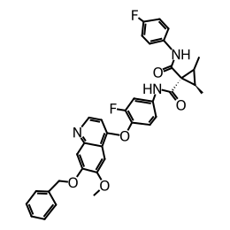 COc1cc2c(Oc3ccc(NC(=O)[C@]4(C(=O)Nc5ccc(F)cc5)C(C)[C@H]4C)cc3F)ccnc2cc1OCc1ccccc1